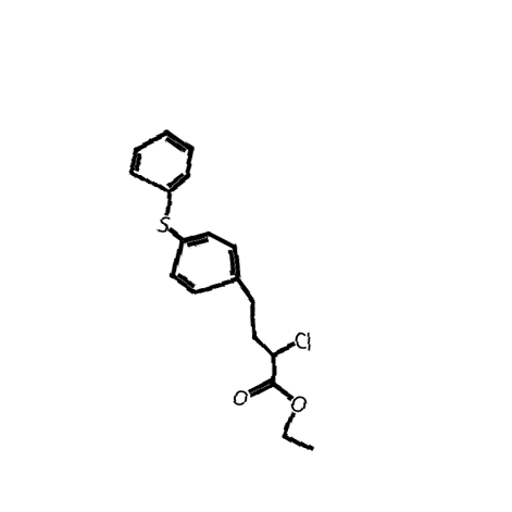 CCOC(=O)C(Cl)CCc1ccc(Sc2ccccc2)cc1